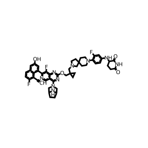 C#Cc1c(F)ccc2cc(O)cc(-c3ncc4c(N5CC6CCC(C5)N6)nc(OCC5(CN6CCC7(CCN(c8ccc(NC9CCC(=O)NC9=O)cc8F)CC7)C6)CC5)nc4c3F)c12